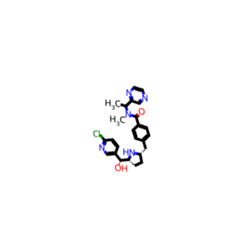 CC(c1cnccn1)N(C)C(=O)c1ccc(C[C@@H]2CC[C@H]([C@H](O)c3ccc(Cl)nc3)N2)cc1